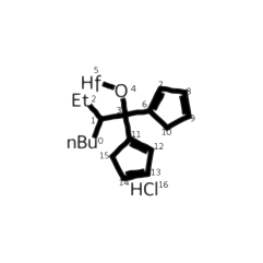 CCCCC(CC)C([O][Hf])(C1=CC=CC1)C1=CC=CC1.Cl